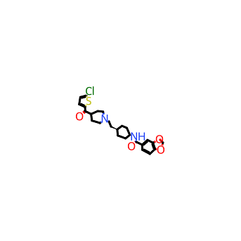 O=C(N[C@H]1CC[C@H](CCN2CCC(C(=O)c3ccc(Cl)s3)CC2)CC1)c1ccc2c(c1)OCO2